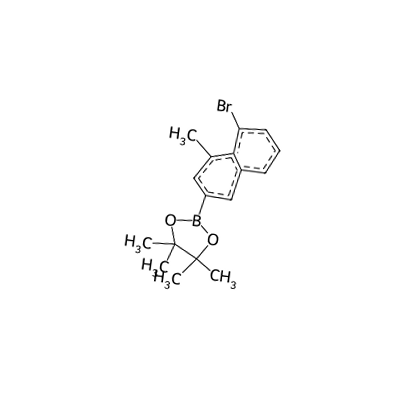 Cc1cc(B2OC(C)(C)C(C)(C)O2)cc2cccc(Br)c12